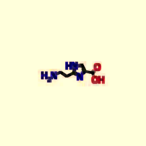 NCCc1nc(C(=O)O)c[nH]1